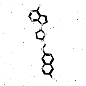 FC(F)(F)c1cnc2cc(OC[C@@H]3CC[C@H](n4ccc5c(Cl)ncnc54)O3)ccc2c1